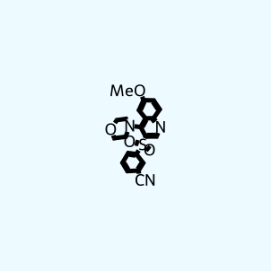 COc1ccc2ncc(S(=O)(=O)c3cccc(C#N)c3)c(N3CCOCC3)c2c1